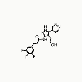 O=C(CCc1cc(F)c(F)c(F)c1)Nc1n[nH]c(-c2ccnnc2)c1CCO